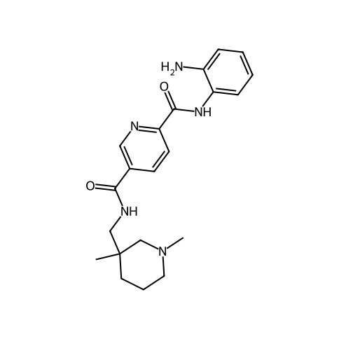 CN1CCCC(C)(CNC(=O)c2ccc(C(=O)Nc3ccccc3N)nc2)C1